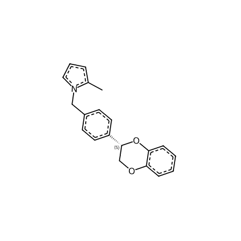 Cc1cccn1Cc1ccc([C@H]2COc3ccccc3O2)cc1